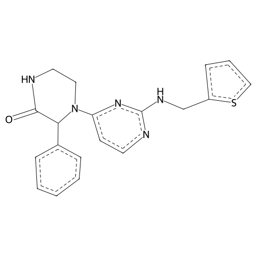 O=C1NCCN(c2ccnc(NCc3cccs3)n2)C1c1ccccc1